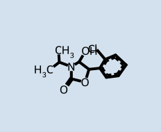 CC(C)N1C(=O)OC(c2ccccc2Cl)C1O